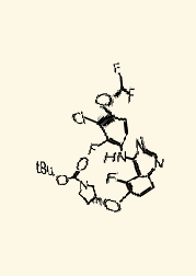 CC(C)(C)OC(=O)N1CC[C@H](Oc2ccc3ncnc(Nc4ccc(OC(F)F)c(Cl)c4F)c3c2F)C1